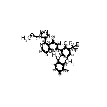 COCn1nnnc1-c1nccc2[nH]c(-c3c(Oc4ccc(F)c(F)c4C)ncc(C(F)(F)F)c3C)cc(=O)c12